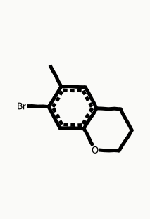 Cc1cc2c(cc1Br)OCCC2